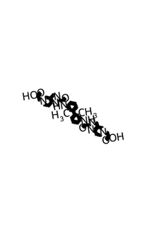 Cc1c(NC(=O)c2ncc3c(n2)CCN(CC(=O)O)C3)cccc1-c1cccc(NC(=O)c2ncc3c(n2)CCN(CC(=O)O)C3)c1C